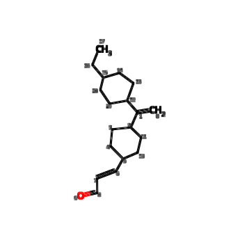 C=C(C1CCC(C=CC=O)CC1)C1CCC(CC)CC1